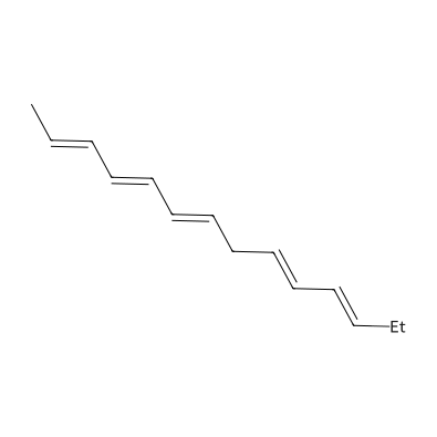 [CH2]C/C=C/C=C/C/C=C/C=C/C=C/C